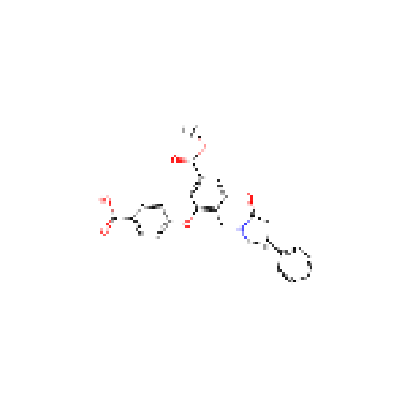 COC(=O)c1ccc(CN2C[C@H](c3ccccc3)CC2=O)c(Oc2ccc(C(=O)O)cc2)c1